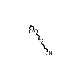 N#CCCCCOCCCOC1CCCO1